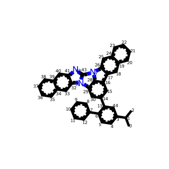 CC(C)c1ccc(-c2ccccc2)c(-c2cc3c4cc5ccccc5cc4n4c3c(c2)n2c3cc5ccccc5cc3nc24)c1